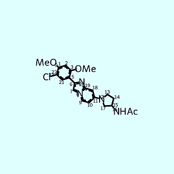 COc1cc(OC)c(-c2cn3ccc(N4CCC(NC(C)=O)C4)cc3n2)cc1Cl